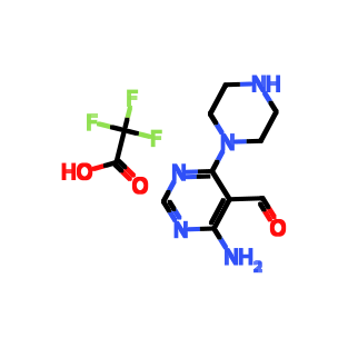 Nc1ncnc(N2CCNCC2)c1C=O.O=C(O)C(F)(F)F